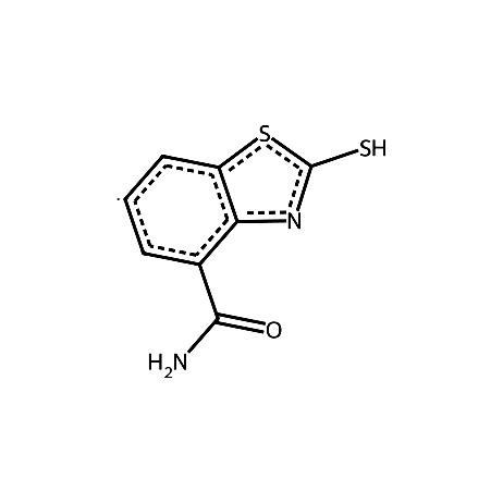 NC(=O)c1c[c]cc2sc(S)nc12